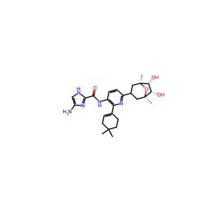 CC1(C)CC=C(c2nc(C3C[C@@]4(C)O[C@@](C)(C3)[C@H](O)[C@@H]4O)ccc2NC(=O)c2nc(N)c[nH]2)CC1